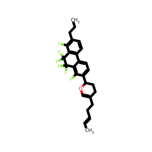 C/C=C/CCC1=COC(c2ccc3c(c2F)C(F)(F)C(F)(F)c2c-3ccc(CCC)c2F)CC1